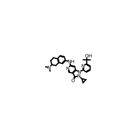 CN(C)C1CCc2ccc(Nc3cc4c(cn3)c(=O)n(C3CC3)n4-c3cccc(C(C)(C)O)n3)cc2C1